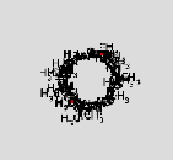 C/C=C/C[C@@H](C)C[C@H]1C(=O)N[C@@H](CC)C(=O)N(C)CC(=O)N(C)[C@@H](CC(C)C)C(=O)N[C@@H](C(C)C)C(=O)N(C)[C@@H](CC(C)C)C(=O)N[C@@H](C)C(=O)N[C@H](C)C(=O)N(C)[C@@H](CC(C)C)C(=O)N(C)[C@@H](CC(C)C)C(=O)N(C)[C@@H](C(C)O)C(=O)N1C